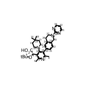 Cc1nc(C)c([C@H](OC(C)(C)C)C(=O)O)c(N2CCC(C)(C)CC2)c1-c1ccc2c(c1)CCN(c1ncccn1)C2